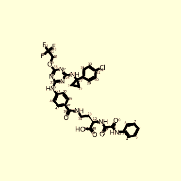 O=C(Nc1ccccc1)C(=O)N[C@H](CCNC(=O)c1ccc(Nc2nc(NC3(c4ccc(Cl)cc4)CC3)nc(OCC(F)(F)F)n2)cc1)C(=O)O